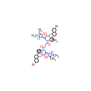 CN[C@@H](C)C(=O)N[C@H]1CN(C(=O)CCC(=O)N2C[C@H](NC(=O)[C@H](C)NC)C(=O)N(Cc3c(OC)ccc4cc(Br)ccc34)c3ccccc32)c2ccccc2N(Cc2c(OC)ccc3cc(Br)ccc23)C1=O